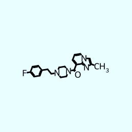 Cc1cn2cccc(C(=O)N3CCN(CCc4ccc(F)cc4)CC3)c2n1